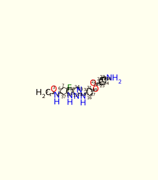 C=CC(=O)Nc1cccc(Nc2nc(Nc3ccc(OC(=O)C45CCC(N)(CC4)CC5)cc3)ncc2F)c1